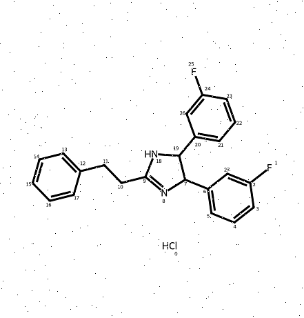 Cl.Fc1cccc(C2N=C(CCc3ccccc3)NC2c2cccc(F)c2)c1